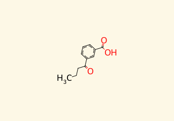 CCCC(=O)c1cccc(C(=O)O)c1